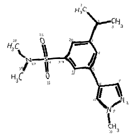 CC(C)c1cc(-c2cnn(C)c2)cc(S(=O)(=O)N(C)C)c1